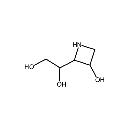 OCC(O)C1NCC1O